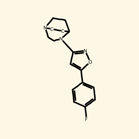 Fc1ccc(-c2cc(N3CCN4CCC3CC4)no2)cc1